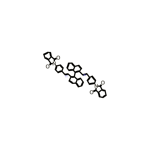 O=C1c2ccccc2C(=O)N1c1ccc(/C=C/c2ccc3ccccc3c2-c2c(/C=C/c3ccc(N4C(=O)c5ccccc5C4=O)cc3)ccc3ccccc23)cc1